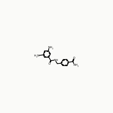 NC(=O)c1ccc(CNC(=O)c2cc(N)cc(N)c2)cc1